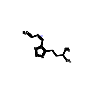 C=C/N=C\n1nnnc1CCC(C)C